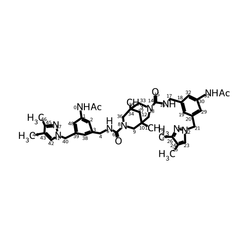 CC(=O)Nc1cc(CNC(=O)N2CC3(C)CN(C(=O)NCc4cc(Cn5cc(C)c(C)n5)cc(NC(C)=O)c4)CC(C)(C2)C3)cc(Cn2cc(C)c(C)n2)c1